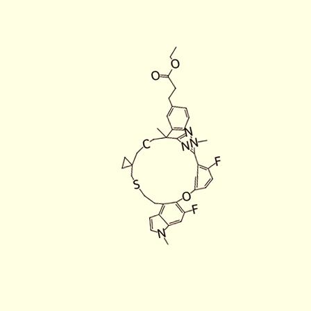 CCOC(=O)CCc1cccc(C2(C)CCCC3(CC3)CSCCc3c(c(F)cc4c3ccn4C)Oc3ccc(F)c(c3)-c3nc2nn3C)c1